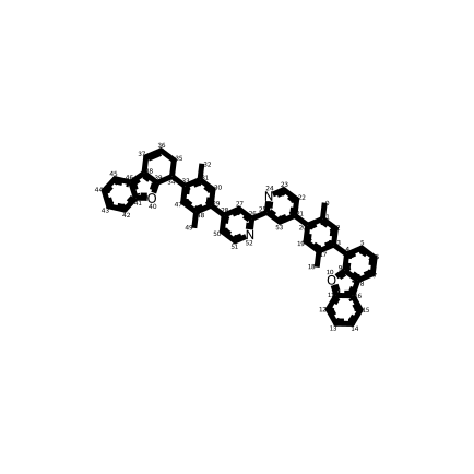 Cc1cc(-c2cccc3c2oc2ccccc23)c(C)cc1-c1ccnc(-c2cc(-c3cc(C)c(C4CC=Cc5c4oc4ccccc54)cc3C)ccn2)c1